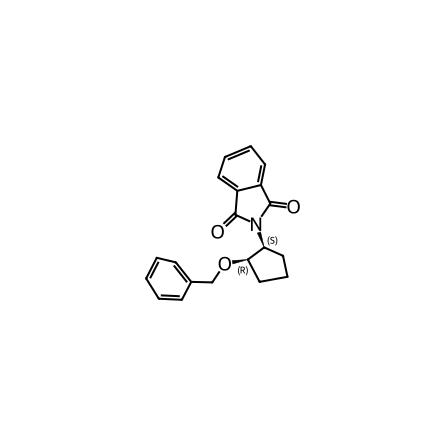 O=C1c2ccccc2C(=O)N1[C@H]1CCC[C@H]1OCc1ccccc1